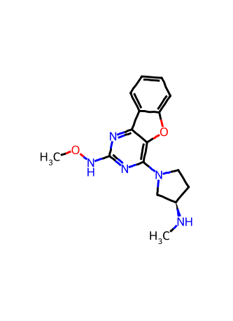 CN[C@@H]1CCN(c2nc(NOC)nc3c2oc2ccccc23)C1